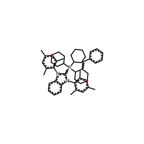 Cc1cc(C)c(-n2c(=P(C3CCCCC3)(C3CCCCC3)C3CCCCC3=Cc3ccccc3)n(-c3c(C)cc(C)cc3C)c3ccccc32)c(C)c1